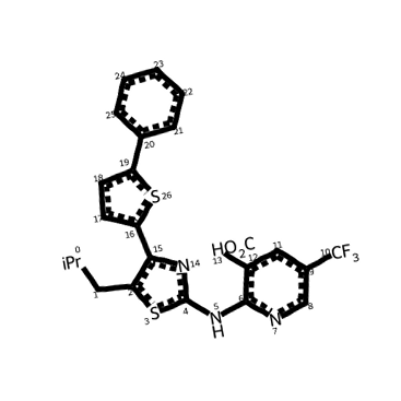 CC(C)Cc1sc(Nc2ncc(C(F)(F)F)cc2C(=O)O)nc1-c1ccc(-c2ccccc2)s1